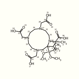 CCC(N)C1([Si](OC)(OC)OC)CN(CC(=O)O)CCN(CC(=O)O)CCN(CC(=O)O)CCN1CC(=O)O